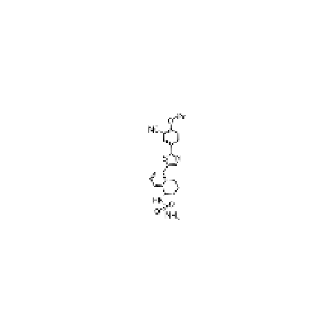 CC(C)Oc1ccc(-c2ncc(-c3cccc4c3CCC[C@@H]4NS(N)(=O)=O)s2)cc1C#N